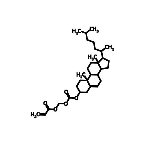 C=CC(=O)OCOC(=O)O[C@H]1CC[C@@]2(C)C(=CCC3C4CCC(C(C)CCCC(C)C)[C@@]4(C)CCC32)C1